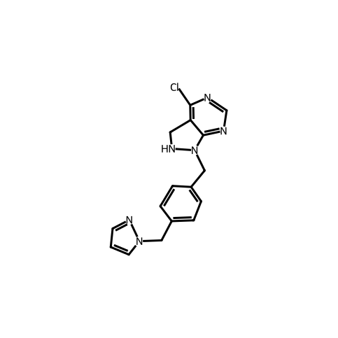 Clc1ncnc2c1CNN2Cc1ccc(Cn2cccn2)cc1